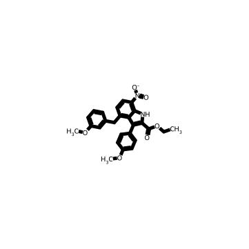 CCOC(=O)c1[nH]c2c([N+](=O)[O-])ccc(Cc3cccc(OC)c3)c2c1-c1ccc(OC)cc1